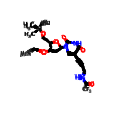 CSCOC1CC(n2cc(C#CCNC(=O)C(F)(F)F)c(=O)[nH]c2=O)OC1CO[Si](C)(C)C(C)(C)C